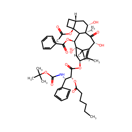 CCCCCC(=O)O[C@@H](C(=O)O[C@H]1C[C@@]2(O)[C@@H](OC(=O)c3ccccc3)C3[C@](C)(C(=O)[C@H](O)C(=C1C)C2(C)C)[C@@H](O)C[C@H]1CC[C@@]31OC(C)=O)[C@@H](NC(=O)OC(C)(C)C)c1ccccc1